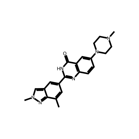 Cc1cc(-c2nc3ccc(N4CCN(C)CC4)cc3c(=O)[nH]2)cc2cn(C)nc12